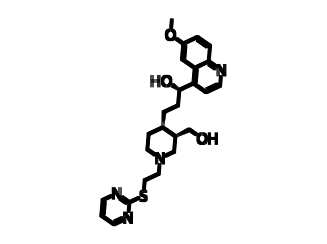 COc1ccc2nccc([C@H](O)CC[C@@H]3CCN(CCSc4ncccn4)C[C@@H]3CO)c2c1